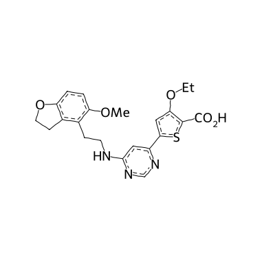 CCOc1cc(-c2cc(NCCc3c(OC)ccc4c3CCO4)ncn2)sc1C(=O)O